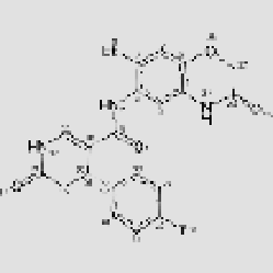 CCc1cc2c(cc1NC(=O)C1=CNC(=O)C[C@H]1c1ccc(F)cc1)NC(=O)CO2